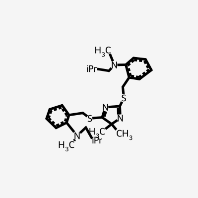 CC(C)CN(C)c1ccccc1CSC1=NC(C)(C)C(SCc2ccccc2N(C)CC(C)C)=N1